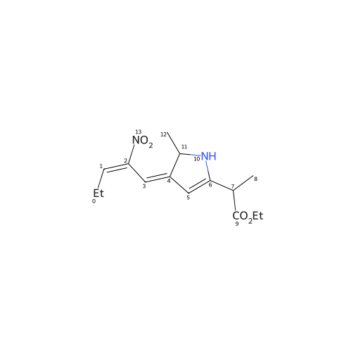 CC/C=C(\C=C1\C=C(C(C)C(=O)OCC)NC1C)[N+](=O)[O-]